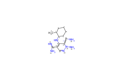 CC1CCCCC1NC1=C(C(=N)N)C=NN(N)/C1=C\N